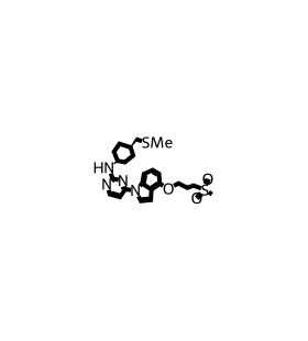 CSC[C@H]1CC[C@H](Nc2nccc(-n3ccc4c(OCCCS(C)(=O)=O)cccc43)n2)CC1